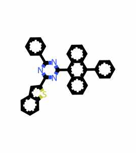 c1ccc(-c2nc(-c3cc4ccccc4s3)nc(-c3c4ccccc4c(-c4ccccc4)c4ccccc34)n2)cc1